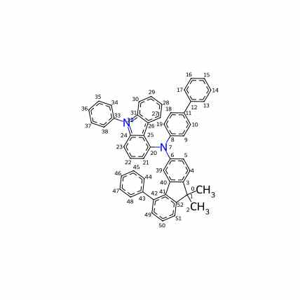 CC1(C)c2ccc(N(c3ccc(-c4ccccc4)cc3)c3cccc4c3c3ccccc3n4-c3ccccc3)cc2-c2c(-c3ccccc3)cccc21